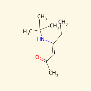 CCC(=CC(C)=O)NC(C)(C)C